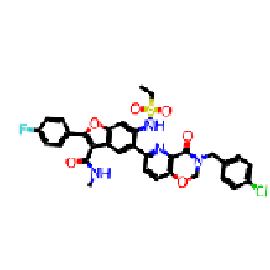 CCS(=O)(=O)Nc1cc2oc(-c3ccc(F)cc3)c(C(=O)NC)c2cc1-c1ccc2c(n1)C(=O)N(Cc1ccc(Cl)cc1)CO2